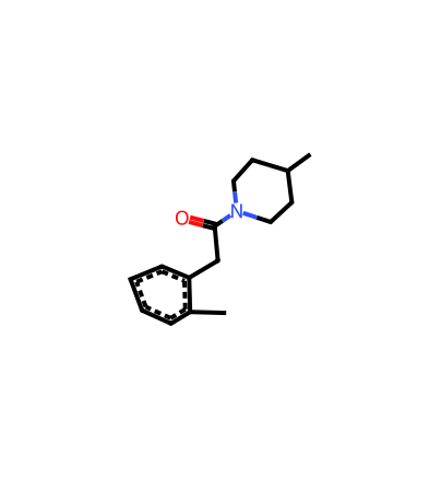 Cc1ccccc1CC(=O)N1CCC(C)CC1